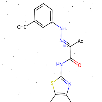 CC(=O)/C(=N\Nc1cccc(C=O)c1)C(=O)Nc1nc(C)c(C=O)s1